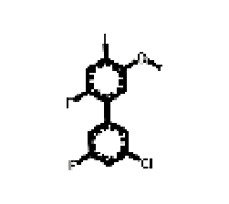 COc1cc(-c2cc(F)cc(Cl)c2)c(F)cc1I